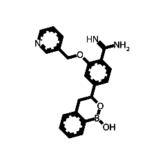 N=C(N)c1ccc(C2Cc3ccccc3B(O)O2)cc1OCc1cccnc1